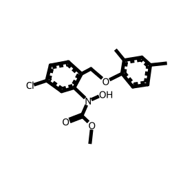 COC(=O)N(O)c1cc(Cl)ccc1COc1ccc(C)cc1C